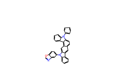 c1ccc(-n2c3ccccc3c3c4cc5c(cc4ccc32)c2ccccc2n5-c2ccc3ocnc3c2)cc1